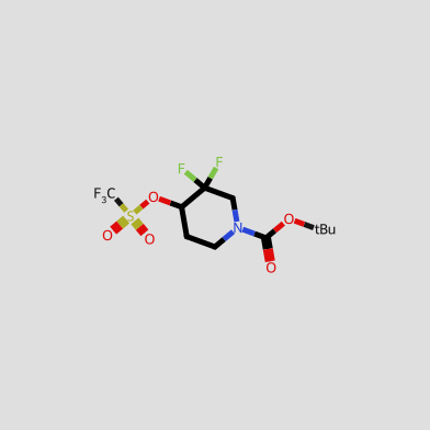 CC(C)(C)OC(=O)N1CCC(OS(=O)(=O)C(F)(F)F)C(F)(F)C1